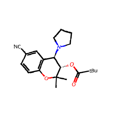 CC(C)(C)C(=O)O[C@H]1[C@H](N2CCCC2)c2cc(C#N)ccc2OC1(C)C